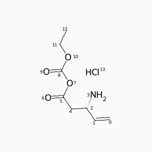 C=C[C@@H](N)CC(=O)OC(=O)OCC.Cl